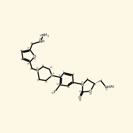 CC(=O)NC[C@H]1CN(c2ccc(N3CCN(Cc4ccc(CNN)o4)CC3)c(F)c2)C(=O)O1